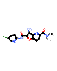 CN(C)C(=O)c1ccc2oc(C(=O)Nc3ccc(Cl)cn3)c(N)c2n1